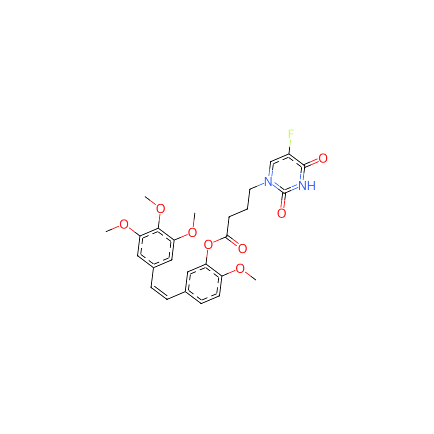 COc1ccc(/C=C\c2cc(OC)c(OC)c(OC)c2)cc1OC(=O)CCCn1cc(F)c(=O)[nH]c1=O